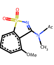 COc1cccc2c1C(N(C)C(C)=O)=NS2(=O)=O